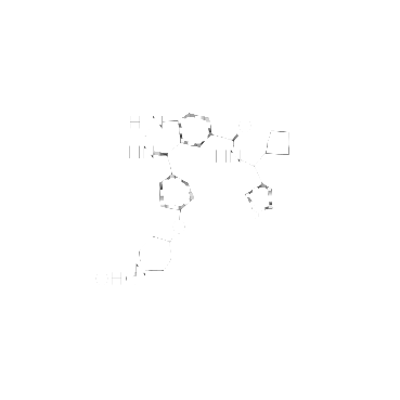 N=C(c1ccc(OC2CCN(C=O)CC2)cc1)c1cc(C(=O)NC(c2ccsc2)C2CCC2)ccc1N